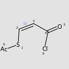 CC(=O)S/C=C\C(=O)Cl